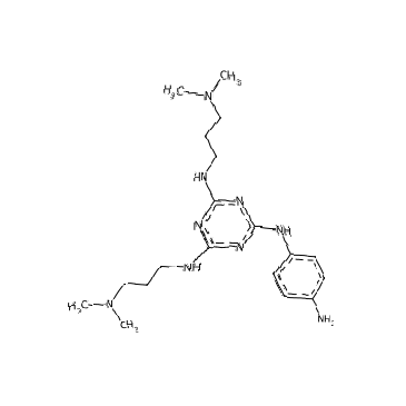 CN(C)CCCNc1nc(NCCCN(C)C)nc(Nc2ccc(N)cc2)n1